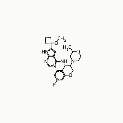 COC1(c2cc3c(N[C@H]4c5ccc(F)cc5OC[C@@H]4N4CCO[C@H](C)C4)ncnc3[nH]2)CCC1